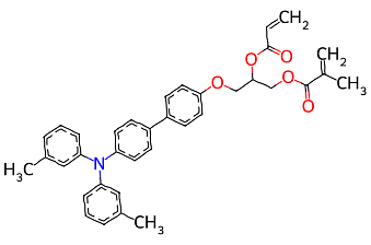 C=CC(=O)OC(COC(=O)C(=C)C)COc1ccc(-c2ccc(N(c3cccc(C)c3)c3cccc(C)c3)cc2)cc1